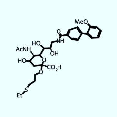 CCSCCCO[C@]1(C(=O)O)CC(O)[C@@H](NC(C)=O)C(C(O)[C@H](O)CNC(=O)c2ccc(-c3ccccc3OC)cc2)O1